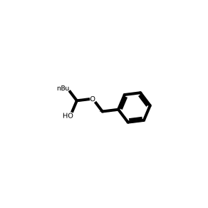 CCCCC(O)O[CH]c1ccccc1